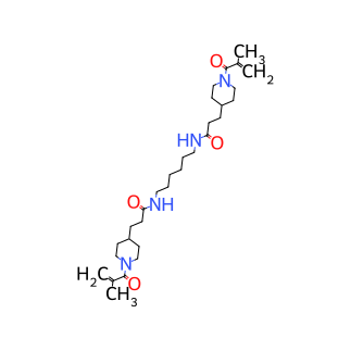 C=C(C)C(=O)N1CCC(CCC(=O)NCCCCCCNC(=O)CCC2CCN(C(=O)C(=C)C)CC2)CC1